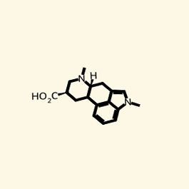 CN1C[C@H](C(=O)O)CC2c3cccc4c3c(cn4C)C[C@H]21